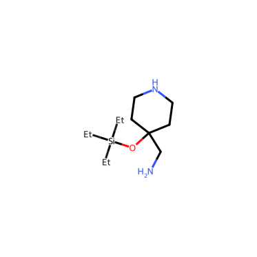 CC[Si](CC)(CC)OC1(CN)CCNCC1